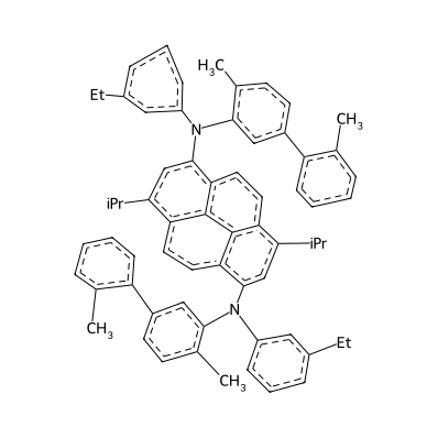 CCc1cccc(N(c2cc(-c3ccccc3C)ccc2C)c2cc(C(C)C)c3ccc4c(N(c5cccc(CC)c5)c5cc(-c6ccccc6C)ccc5C)cc(C(C)C)c5ccc2c3c54)c1